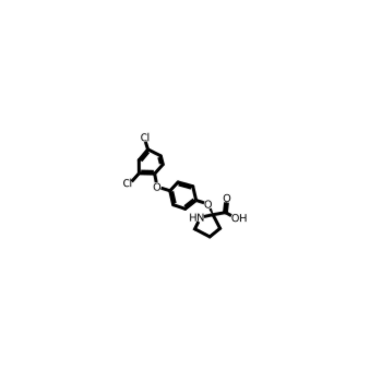 O=C(O)[C@]1(Oc2ccc(Oc3ccc(Cl)cc3Cl)cc2)CCCN1